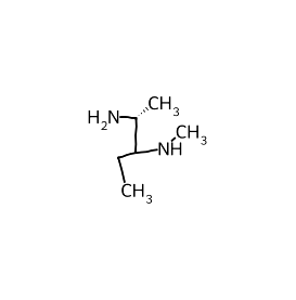 CCC(NC)[C@@H](C)N